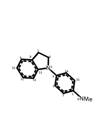 CNc1ccc(N2CCc3ccccc32)cc1